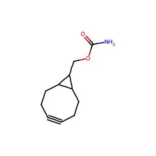 NC(=O)OCC1C2CCC#CCCC21